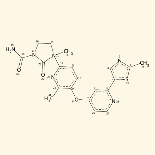 Cc1ncc(-c2cc(Oc3ccc([N+]4(C)CCN(C(N)=O)C4=O)nc3C)ccn2)s1